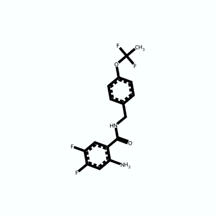 CC(F)(F)Oc1ccc(CNC(=O)c2cc(F)c(F)cc2N)cc1